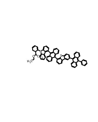 CCOC(C)C1CC=CC=C1n1c2ccccc2c2c(-c3c4ccccc4c(-c4cccc5c4sc4ccc(-c6c7ccccc7c(-c7ccccc7)c7ccccc67)cc45)c4ccccc34)cccc21